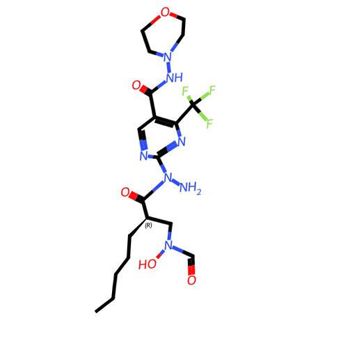 CCCCC[C@H](CN(O)C=O)C(=O)N(N)c1ncc(C(=O)NN2CCOCC2)c(C(F)(F)F)n1